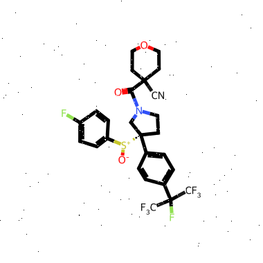 N#CC1(C(=O)N2CC[C@](c3ccc(C(F)(C(F)(F)F)C(F)(F)F)cc3)([S+]([O-])c3ccc(F)cc3)C2)CCOCC1